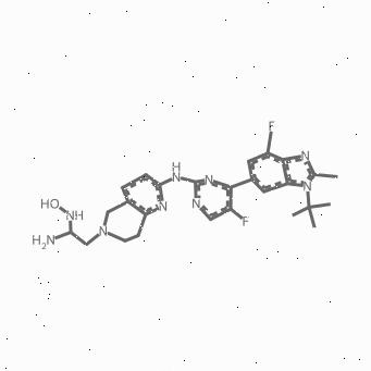 Cc1nc2c(F)cc(-c3nc(Nc4ccc5c(n4)CCN(CC(N)NO)C5)ncc3F)cc2n1C(C)(C)C